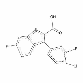 O=C(O)c1sc2cc(F)ccc2c1-c1ccc(Cl)c(F)c1